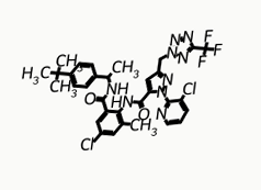 Cc1cc(Cl)cc(C(=O)NC(C)c2ccc(C(C)(C)C)cc2)c1NC(=O)c1cc(Cn2nnc(C(F)(F)F)n2)nn1-c1ncccc1Cl